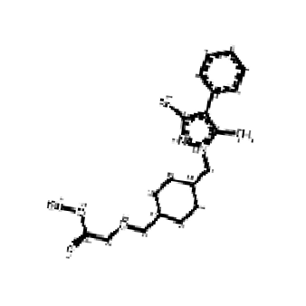 Cc1c(-c2ccccc2)c(Br)nn1CC1CCC(COCC(=O)OC(C)(C)C)CC1